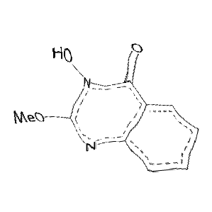 COc1nc2ccccc2c(=O)n1O